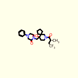 C[C@H](CC(F)(F)F)C(=O)N1CCC(O)(CN2CCN(c3ccccc3)CC2=O)C2(CCCC2)C1